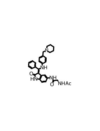 CC(=O)NCC(=O)Nc1ccc2c(c1)C(=C(Nc1ccc(CN3CCCCC3)cc1)c1ccccc1)C(=O)N2